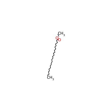 CCCCCCCCCCCCCCCCCCCCCCCCC(=O)OCCC